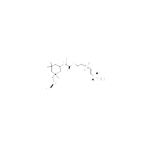 CC1(C)CC(NC(=O)OCC[N+](C)(C)CCS(=O)(=O)O)CC(C)(CN=C=O)C1